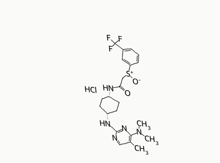 Cc1cnc(N[C@H]2CC[C@@H](NC(=O)C[S+]([O-])c3cccc(C(F)(F)F)c3)CC2)nc1N(C)C.Cl